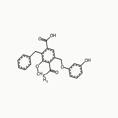 COc1c(Cc2ccccc2)c(C(=O)O)cc(COc2cccc(O)c2)c1C(C)=O